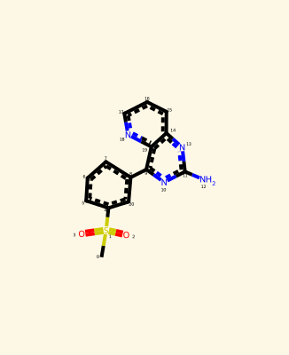 CS(=O)(=O)c1cccc(-c2nc(N)nc3cccnc23)c1